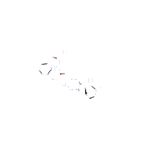 C[C@H]1CN(CC(Cc2ccccc2)C(=O)NCC(=O)O)CC[C@@]1(C)c1cccc(O)c1